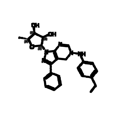 CCc1ccc(NN2C=Nc3c(c(-c4ccccc4)nn3[C@@H]3O[C@H](C)[C@@H](O)[C@H]3O)C2)cc1